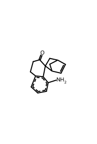 Nc1cccc2c1C1(CC3C=CC1C3)C(=O)CC2